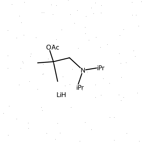 CC(=O)OC(C)(C)CN(C(C)C)C(C)C.[LiH]